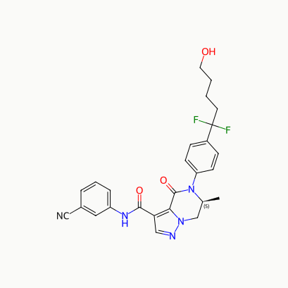 C[C@H]1Cn2ncc(C(=O)Nc3cccc(C#N)c3)c2C(=O)N1c1ccc(C(F)(F)CCCCO)cc1